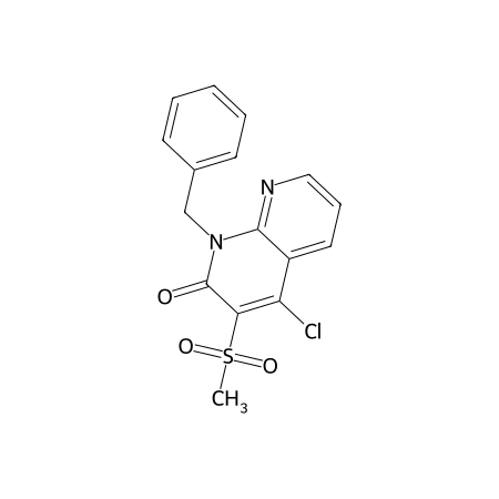 CS(=O)(=O)c1c(Cl)c2cccnc2n(Cc2ccccc2)c1=O